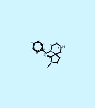 O=C1N(I)CCC12CNCCN2Cc1ccccc1